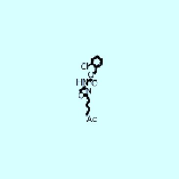 CC(=O)CCCCc1nc(NC(=O)OCc2ccccc2Cl)co1